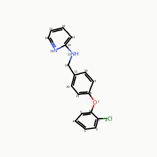 Clc1ccccc1Oc1ccc(CNc2ccccn2)cc1